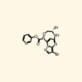 CC(C)[C@H]1CON(C(=O)Oc2cccnc2)c2cc(nc3c(Br)cnn23)N1